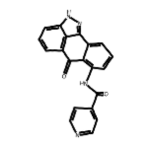 O=C(Nc1cccc2c1C(=O)c1cccc3[nH]nc-2c13)c1ccncc1